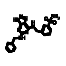 NS(=O)(=O)c1cccc(CNc2nc(NCc3ccccc3)nc3[nH]nnc23)c1